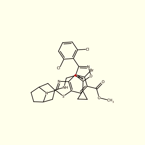 COC(=O)c1cc2sc(N3C4CCC3CC(NCc3c(-c5c(Cl)cccc5Cl)noc3C3CC3)C4)nc2cc1Br